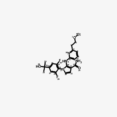 CCOCCc1cccc(NC2=C(C(N)=O)C=C[S]2c2c(F)cc(C(C)(C)O)cc2F)n1